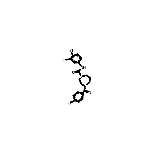 O=C(Nc1ccc(Cl)c(Cl)c1)N1CCCN(C(=O)c2ccc(Cl)cc2)CC1